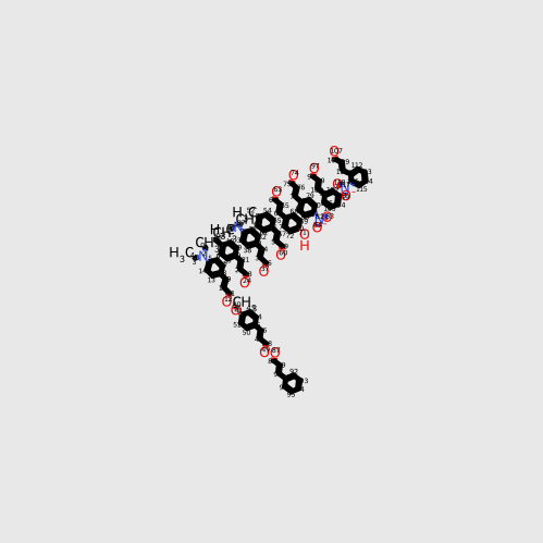 CCN(CC)c1ccc(C=CC=O)cc1.CCc1ccc(C=CC=O)cc1.CN(C)c1ccc(C=CC=O)cc1.COc1ccc(C=CC=O)cc1.Cc1ccc(C=CC=O)cc1.O=CC=Cc1ccc(O)cc1.O=CC=Cc1ccc([N+](=O)[O-])cc1.O=CC=Cc1ccccc1.O=CC=Cc1ccccc1.O=CC=Cc1ccccc1[N+](=O)[O-]